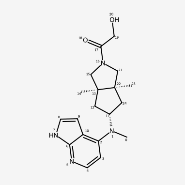 CN(c1ccnc2[nH]ccc12)[C@@H]1C[C@@]2(C)CN(C(=O)CO)C[C@@]2(C)C1